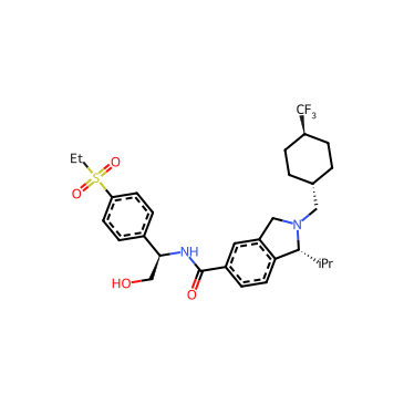 CCS(=O)(=O)c1ccc([C@H](CO)NC(=O)c2ccc3c(c2)CN(C[C@H]2CC[C@H](C(F)(F)F)CC2)[C@@H]3C(C)C)cc1